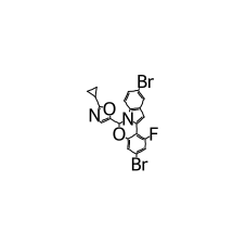 Fc1cc(Br)cc2c1-c1cc3cc(Br)ccc3n1C(c1cnc(C3CC3)o1)O2